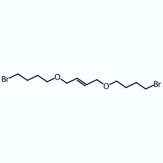 BrCCCCOC/C=C/COCCCCBr